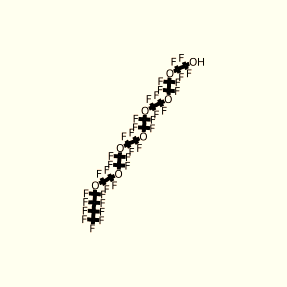 OC(F)(F)C(F)(F)OC(F)(F)C(F)(F)OC(F)(F)C(F)(F)OC(F)(F)C(F)(F)OC(F)(F)C(F)(F)OC(F)(F)C(F)(F)OC(F)(F)C(F)(F)OC(F)(F)C(F)(F)C(F)(F)C(F)(F)F